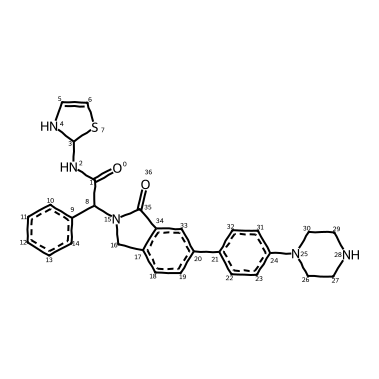 O=C(NC1NC=CS1)C(c1ccccc1)N1Cc2ccc(-c3ccc(N4CCNCC4)cc3)cc2C1=O